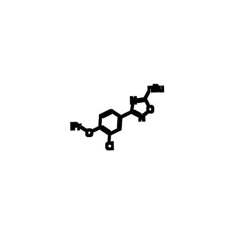 CCCCc1nc(-c2ccc(OC(C)C)c(Cl)c2)no1